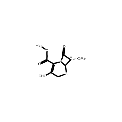 CO[C@H]1C(=O)N2C(C(=O)OC(C)(C)C)=C(C=O)CSC12